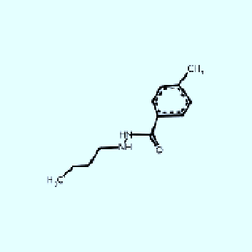 CCCCNNC(=O)c1ccc(C)cc1